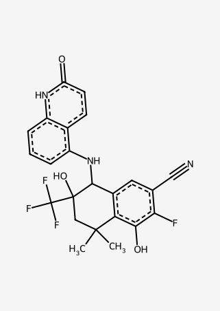 CC1(C)CC(O)(C(F)(F)F)C(Nc2cccc3[nH]c(=O)ccc23)c2cc(C#N)c(F)c(O)c21